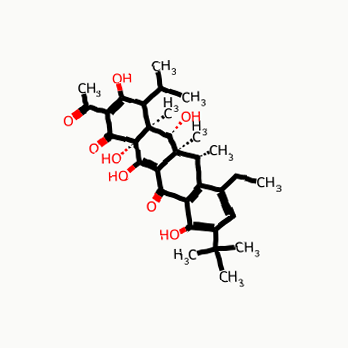 CCc1cc(C(C)(C)C)c(O)c2c1[C@@H](C)[C@@]1(C)C(=C(O)[C@@]3(O)C(=O)C(C(C)=O)=C(O)C(C(C)C)[C@@]3(C)[C@@H]1O)C2=O